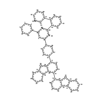 c1ccc(-c2cc(-c3ccc(-c4ccc(-c5cccc6c5oc5ccccc56)c5c4oc4ccccc45)cc3)nc(-c3ccccc3-c3cccnc3)n2)cc1